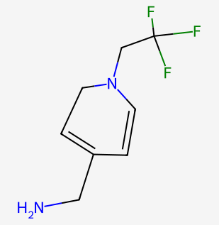 NCC1=CCN(CC(F)(F)F)C=C1